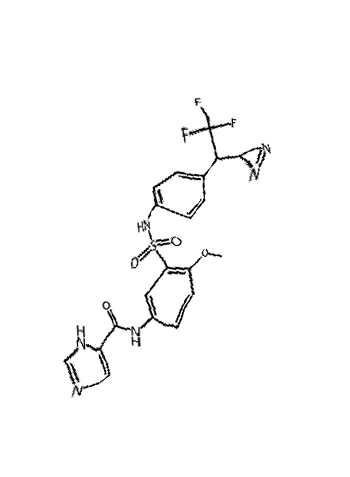 COc1ccc(NC(=O)c2cnc[nH]2)cc1S(=O)(=O)Nc1ccc(C(C2N=N2)C(F)(F)F)cc1